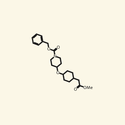 COC(=O)CC1CCC(OC2CCN(C(=O)OCc3ccccc3)CC2)CC1